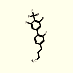 CCCCc1ccc(-c2cc(F)c(C(F)(F)F)c(F)c2)c(F)c1